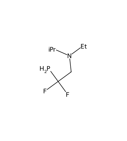 CCN(CC(F)(F)P)C(C)C